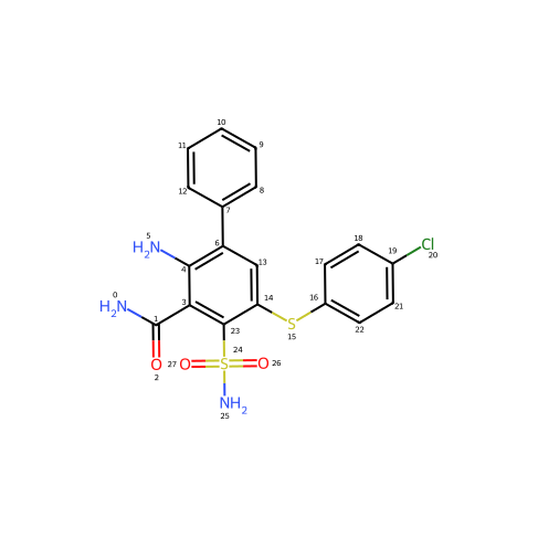 NC(=O)c1c(N)c(-c2ccccc2)cc(Sc2ccc(Cl)cc2)c1S(N)(=O)=O